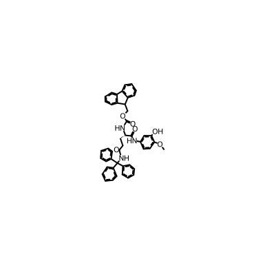 COc1ccc(NC(=O)[C@H](CCC(=O)NC(c2ccccc2)(c2ccccc2)c2ccccc2)NC(=O)OCC2c3ccccc3-c3ccccc32)cc1O